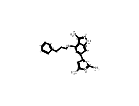 Cc1cc(-c2cc(NCCCc3ccccc3)c3c(N)n[nH]c3c2)nc(N)n1